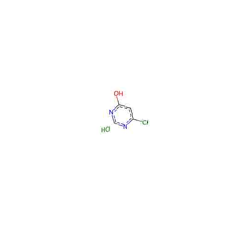 Cl.Oc1cc(Cl)ncn1